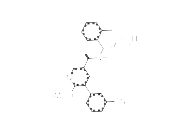 COc1ncc(C(=O)N[C@@H](CC(=O)O)c2ccccc2C)cc1-c1cccc(C#N)c1